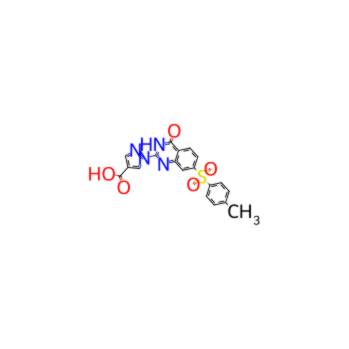 Cc1ccc(S(=O)(=O)c2ccc3c(=O)[nH]c(-n4cc(C(=O)O)cn4)nc3c2)cc1